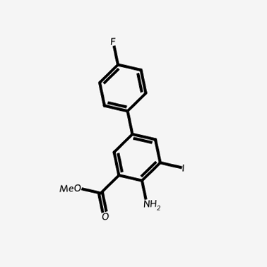 COC(=O)c1cc(-c2ccc(F)cc2)cc(I)c1N